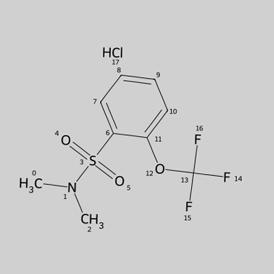 CN(C)S(=O)(=O)c1ccccc1OC(F)(F)F.Cl